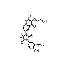 CCc1nc2ccc(N3C(=S)N(c4ccc(C#N)c(C(F)(F)CC)c4)C(=O)C3(C)C)cn2c(=O)c1OCCO